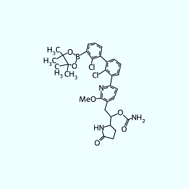 COc1nc(-c2cccc(-c3cccc(B4OC(C)(C)C(C)(C)O4)c3Cl)c2Cl)ccc1CC(OC(N)=O)C1CCC(=O)N1